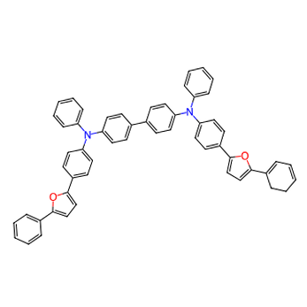 C1=CCCC(c2ccc(-c3ccc(N(c4ccccc4)c4ccc(-c5ccc(N(c6ccccc6)c6ccc(-c7ccc(-c8ccccc8)o7)cc6)cc5)cc4)cc3)o2)=C1